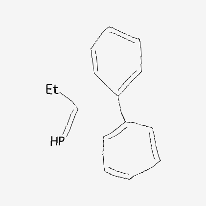 CCC=P.c1ccc(-c2ccccc2)cc1